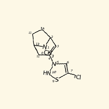 CN1C2C=C(N3C=C(Cl)SN3)CC1CC2